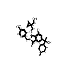 CN1CCC(C(C)(O)c2cc(F)c3c(c2)C(=O)N(Cc2ccc(Cl)cn2)[C@@H]3OCC2(CO)CC2)CC1